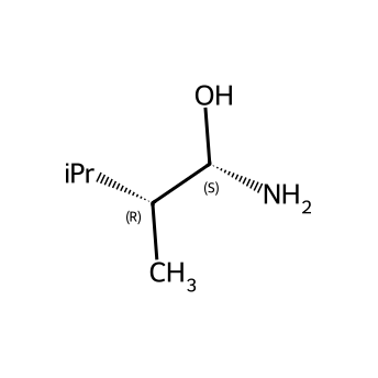 CC(C)[C@@H](C)[C@@H](N)O